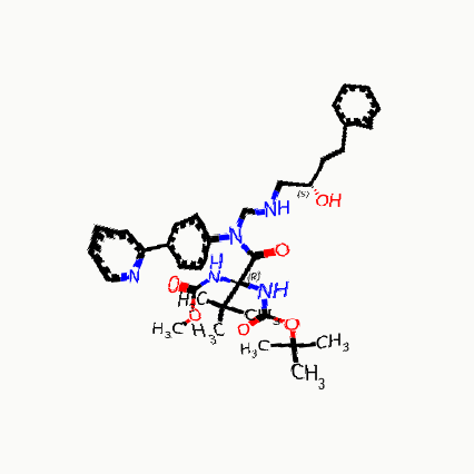 COC(=O)N[C@](NC(=O)OC(C)(C)C)(C(=O)N(CNC[C@@H](O)CCc1ccccc1)c1ccc(-c2ccccn2)cc1)C(C)(C)C